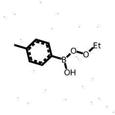 CCOOB(O)c1ccc(C)cc1